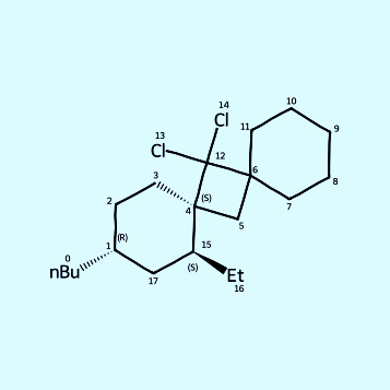 CCCC[C@@H]1CC[C@]2(CC3(CCCCC3)C2(Cl)Cl)[C@@H](CC)C1